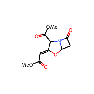 COC(=O)C=C1OC2CC(=O)N2C1C(=O)OC